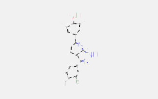 Cc1cc(-c2ccc3c(-c4ccc(I)c(F)c4)n[nH]c3n2)cc(C)c1O